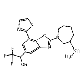 CNC1CCCCN(c2nc3cc(C(O)C(F)(F)F)cc(-c4nccs4)c3o2)C1